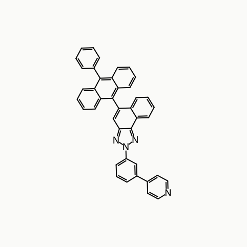 c1ccc(-c2c3ccccc3c(-c3cc4nn(-c5cccc(-c6ccncc6)c5)nc4c4ccccc34)c3ccccc23)cc1